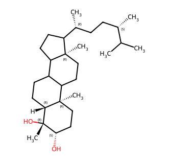 CC(C)[C@@H](C)CC[C@@H](C)C1CCC2C3CC[C@H]4[C@@](C)(O)[C@@H](O)CC[C@]4(C)C3CC[C@@]21C